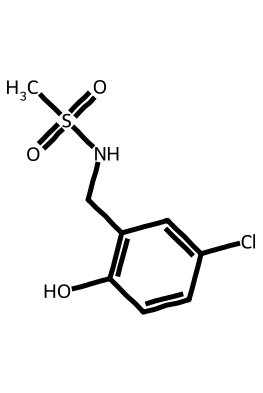 CS(=O)(=O)NCc1cc(Cl)ccc1O